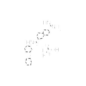 N=C(N)c1ccc2cc(C(=O)Nc3cccc(Oc4ccccc4)c3)ccc2c1.O=C(O)C(F)(F)F